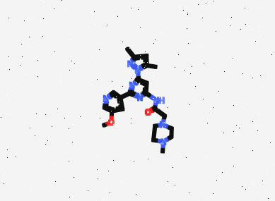 COc1cncc(-c2nc(NC(=O)CN3CCN(C)CC3)cc(-n3nc(C)cc3C)n2)c1